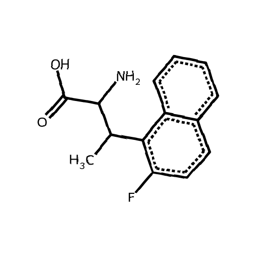 CC(c1c(F)ccc2ccccc12)C(N)C(=O)O